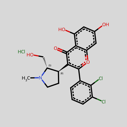 CN1CC[C@H](c2c(-c3cccc(Cl)c3Cl)oc3cc(O)cc(O)c3c2=O)[C@H]1CO.Cl